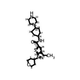 Cc1nn(C2CCOCC2)c2sc(C(=O)NC3CCC(N4CCNCC4)CC3)cc12